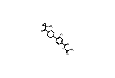 N=C(N)NC(=O)c1ccc(C2CCN(C(=O)C3(N)CC3)CC2)c(C(F)(F)F)c1